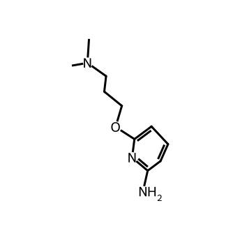 CN(C)CCCOc1cccc(N)n1